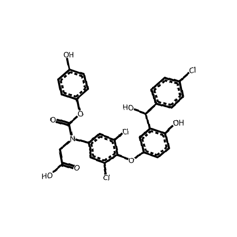 O=C(O)CN(C(=O)Oc1ccc(O)cc1)c1cc(Cl)c(Oc2ccc(O)c(C(O)c3ccc(Cl)cc3)c2)c(Cl)c1